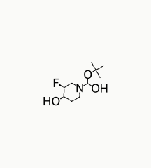 CC(C)(C)OC(O)N1CC[C@@H](O)[C@@H](F)C1